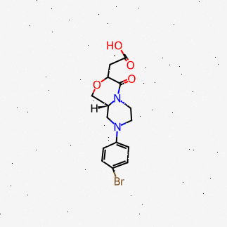 O=C(O)CC1OC[C@H]2CN(c3ccc(Br)cc3)CCN2C1=O